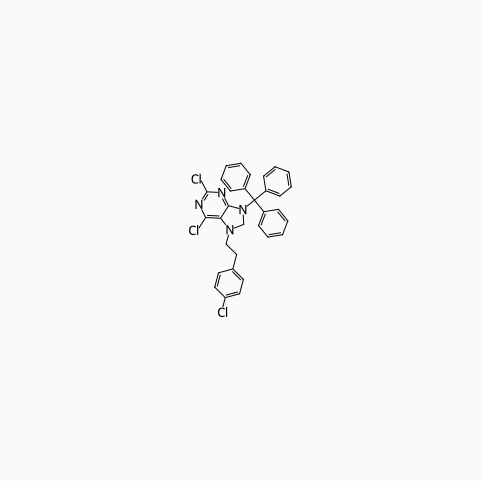 Clc1ccc(CCN2CN(C(c3ccccc3)(c3ccccc3)c3ccccc3)c3nc(Cl)nc(Cl)c32)cc1